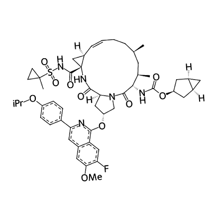 COc1cc2cc(-c3ccc(OC(C)C)cc3)nc(O[C@@H]3C[C@H]4C(=O)N[C@]5(C(=O)NS(=O)(=O)C6(C)CC6)C[C@H]5/C=C\CC[C@@H](C)C[C@@H](C)[C@H](NC(=O)O[C@@H]5C[C@@H]6C[C@@H]6C5)C(=O)N4C3)c2cc1F